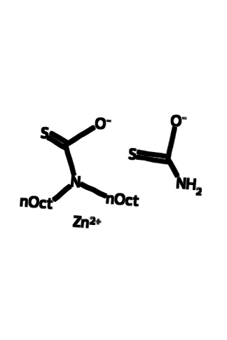 CCCCCCCCN(CCCCCCCC)C([O-])=S.NC([O-])=S.[Zn+2]